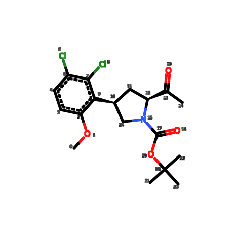 COc1ccc(Cl)c(Cl)c1[C@H]1C[C@@H](C(C)=O)N(C(=O)OC(C)(C)C)C1